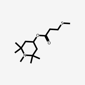 CSCCC(=O)OC1CC(C)(C)N(C)C(C)(C)C1